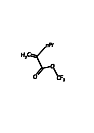 C=C(CCC)C(=O)OC(F)(F)F